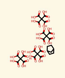 C1CC2CCC1C2.O=C(O)C(C(=O)O)(C(=O)O)C(=O)O.O=C(O)C(C(=O)O)(C(=O)O)C(=O)O.O=C(O)C(C(=O)O)(C(=O)O)C(=O)O.O=C(O)C(C(=O)O)(C(=O)O)C(=O)O